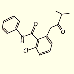 CC(C)C(=O)Cc1cccc(Cl)c1C(=O)Nc1ccccc1